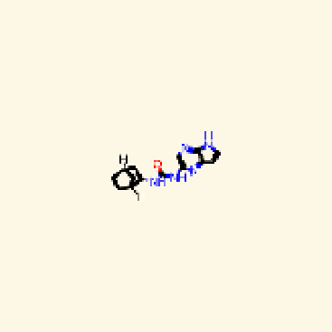 O=C(Nc1cnc2[nH]ccc2n1)N[C@H]1C[C@@H]2CC[C@@H]1C2